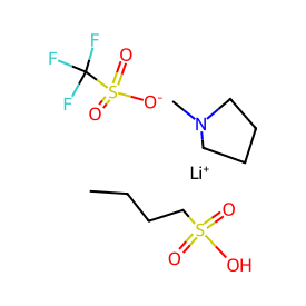 CCCCS(=O)(=O)O.CN1CCCC1.O=S(=O)([O-])C(F)(F)F.[Li+]